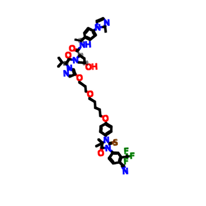 Cc1nccn1-c1ccc([C@H](C)NC(=O)[C@@H]2C[C@@H](O)CN2C(=O)[C@@H](C(C)C)n2cc(OCCCOCCCCCOc3ccc(N4C(=S)N(c5ccc(C#N)c(C(F)(F)F)c5)C(=O)C4(C)C)cc3)cn2)cc1